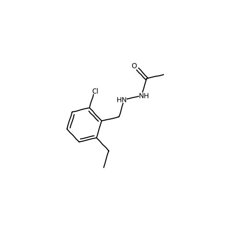 CCc1cccc(Cl)c1CNNC(C)=O